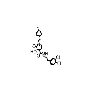 O=C(NCCCc1ccc(Cl)c(Cl)c1)c1ccn(CCc2ccc(F)cc2)c(=O)c1O